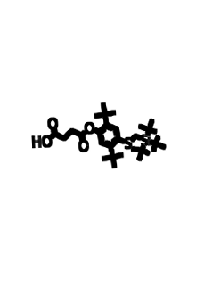 CC(C)(C)c1cc(SC[Si](C(C)(C)C)(C(C)(C)C)C(C)(C)C)c(C(C)(C)C)cc1OC(=O)CCC(=O)O